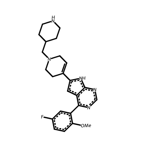 COc1ccc(F)cc1-c1ncnc2[nH]c(C3=CCN(CC4CCNCC4)CC3)cc12